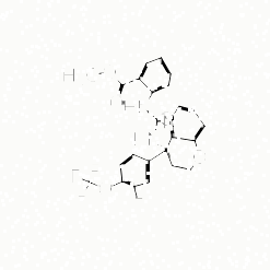 COC(=O)c1ccccc1NC(=O)N[C@]1(c2ccc(OC(F)(F)F)c(F)c2)CCOc2cccnc21